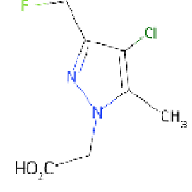 Cc1c(Cl)c(CF)nn1CC(=O)O